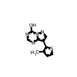 Cc1ccsc1-c1cnn2c(O)ncnc12